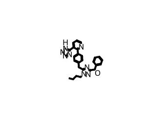 CCCCn1nc(C(=O)c2ccccc2)nc1Cc1ccc(-c2ncccc2-c2nnn[nH]2)cc1